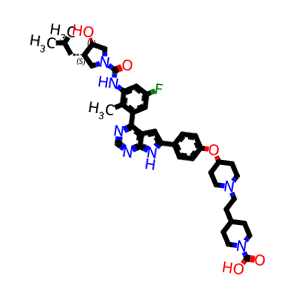 Cc1c(NC(=O)N2C[C@H](CC(C)C)[C@@H](O)C2)cc(F)cc1-c1ncnc2[nH]c(-c3ccc(OC4CCN(CCC5CCN(C(=O)O)CC5)CC4)cc3)cc12